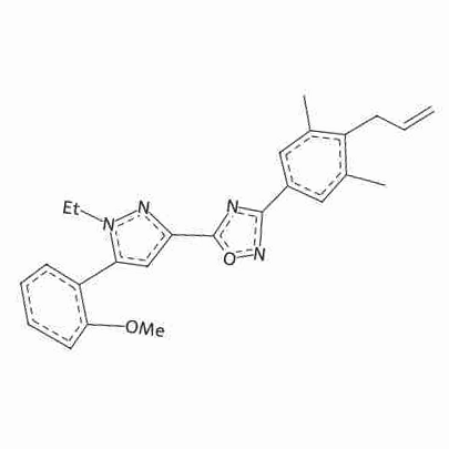 C=CCc1c(C)cc(-c2noc(-c3cc(-c4ccccc4OC)n(CC)n3)n2)cc1C